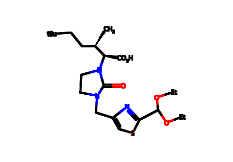 CCOC(OCC)c1nc(CN2CCN([C@H](C(=O)O)[C@@H](C)CCC(C)(C)C)C2=O)cs1